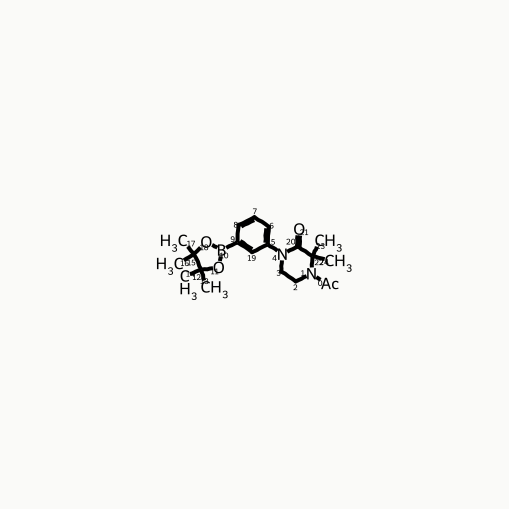 CC(=O)N1CCN(c2cccc(B3OC(C)(C)C(C)(C)O3)c2)C(=O)C1(C)C